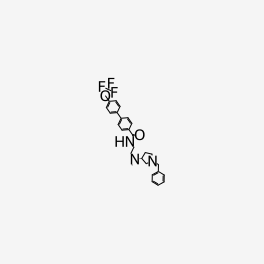 CN(CCNC(=O)c1ccc(-c2ccc(OC(F)(F)F)cc2)cc1)[C@@H]1CCN(Cc2ccccc2)C1